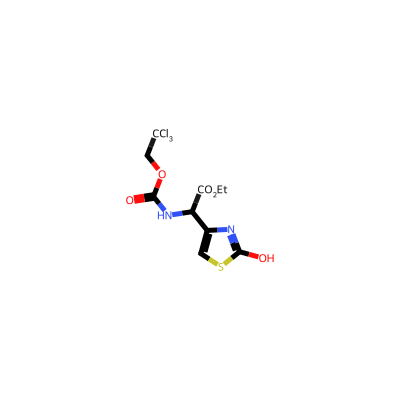 CCOC(=O)C(NC(=O)OCC(Cl)(Cl)Cl)c1csc(O)n1